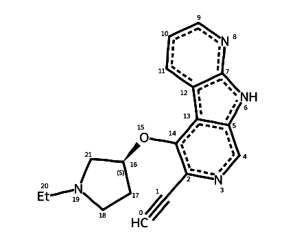 C#Cc1ncc2[nH]c3ncccc3c2c1O[C@H]1CCN(CC)C1